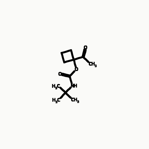 CC(=O)C1(OC(=O)NC(C)(C)C)CCC1